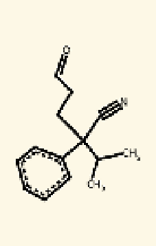 CC(C)C(C#N)(CCC=O)c1ccccc1